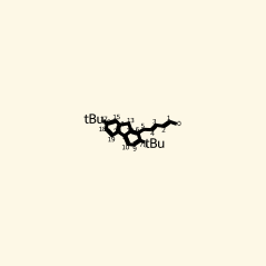 CC=CC=CCc1c(C(C)(C)C)ccc2c1Cc1cc(C(C)(C)C)ccc1-2